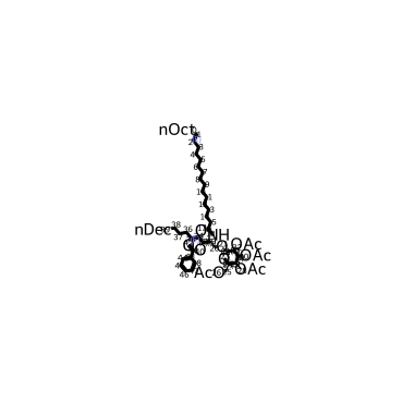 CCCCCCCC/C=C/CCCCCCCCCCCCCC(=O)N[C@@H](CO[C@H]1O[C@H](COC(C)=O)[C@H](OC(C)=O)[C@H](OC(C)=O)[C@H]1OC(C)=O)[C@@H](/C=C/CCCCCCCCCCCCC)OC(=O)c1ccccc1